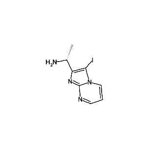 C[C@@H](N)c1nc2ncccn2c1I